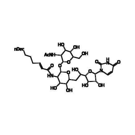 CCCCCCCCCCCCC/C=C/C(=O)NC1C(OC2OC(CO)C(O)C(O)C2NC(C)=O)OC(CC(O)C2OC(n3ccc(=O)[nH]c3=O)C(O)C2O)C(O)C1O